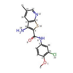 COc1ccc(NC(=O)c2sc3ncc(C)cc3c2N)cc1Cl